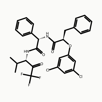 CC(C)[C@H](NC(=O)[C@@H](NC(=O)[C@@H](Cc1ccccc1)Oc1cc(Cl)cc(Cl)c1)c1ccccc1)C(=O)C(F)(F)F